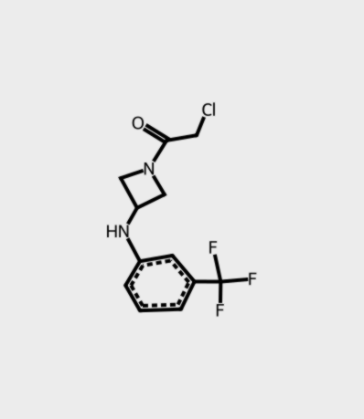 O=C(CCl)N1CC(Nc2cccc(C(F)(F)F)c2)C1